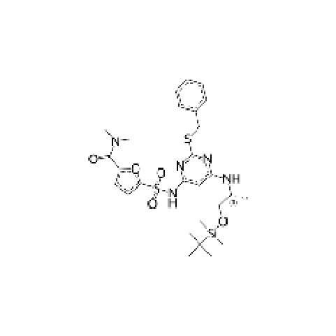 C[C@H](CO[Si](C)(C)C(C)(C)C)Nc1cc(NS(=O)(=O)c2ccc(C(=O)N(C)C)o2)nc(SCc2ccccc2)n1